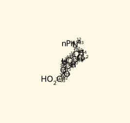 C=C(C)[C@@H]1CC[C@]2(CCN(CCC)C3CC3)CC[C@]3(C)[C@H](CC[C@@H]4[C@@]5(C)CC[C@H](OC(=O)CC(C)(C)C(=O)O)C(C)(C)[C@@H]5CC[C@]43C)[C@@H]12